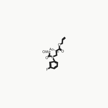 C=CCOC(=O)[C@H](CN(C(=O)OC)c1cccc(F)c1)C(C)=O